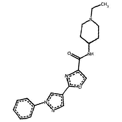 CCN1CCC(NC(=O)c2coc(-c3cnn(-c4ccccc4)c3)n2)CC1